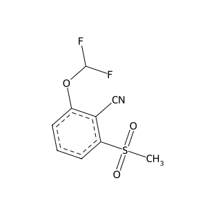 CS(=O)(=O)c1cccc(OC(F)F)c1C#N